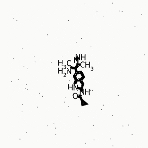 C/C(N=N)=C(\c1ccc2c(c1)=CNC(NC(=O)C1CC1)C=2)C(C)N